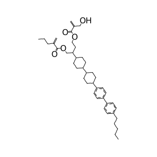 C=C(CO)C(=O)OCCC(COC(=O)C(=C)CCC)C1CCC(C2CCC(c3ccc(-c4ccc(CCCCC)cc4)cc3)CC2)CC1